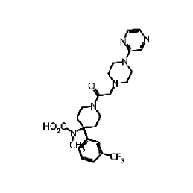 CN(C(=O)O)C1(c2cccc(C(F)(F)F)c2)CCN(C(=O)CN2CCN(c3cnccn3)CC2)CC1